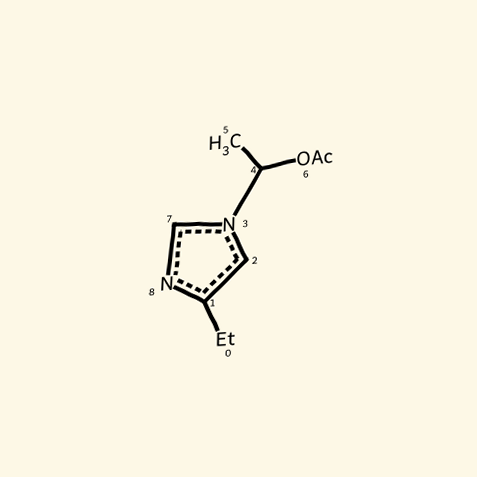 CCc1cn(C(C)OC(C)=O)cn1